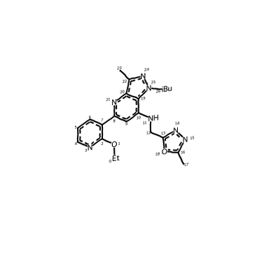 CCOc1ncccc1-c1cc(NCc2nnc(C)o2)c2c(n1)c(C)nn2C(C)CC